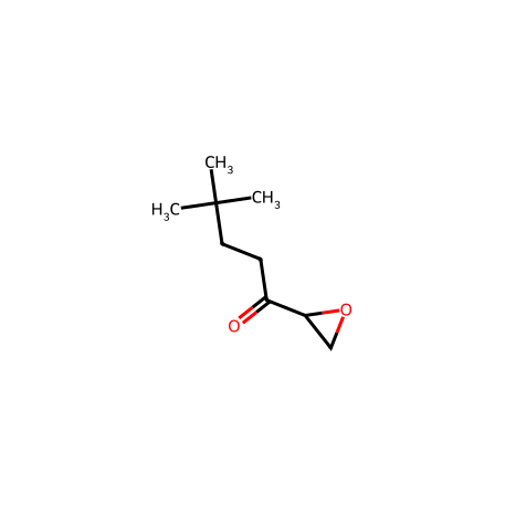 CC(C)(C)CCC(=O)C1CO1